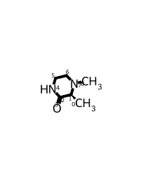 C[C@H]1C(=O)NCCN1C